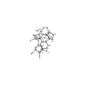 Cn1nc2c(c1-c1cc(F)c(F)c(F)c1)C[C@@H]1CCC[C@H]2N1C(=O)c1cc(F)ccc1-n1nccn1